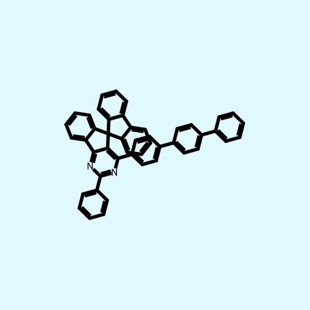 c1ccc(-c2ccc(-c3ccc(-c4nc(-c5ccccc5)nc5c4C4(c6ccccc6-c6ccccc64)c4ccccc4-5)cc3)cc2)cc1